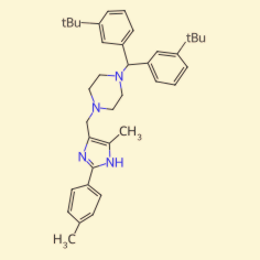 Cc1ccc(-c2nc(CN3CCN(C(c4cccc(C(C)(C)C)c4)c4cccc(C(C)(C)C)c4)CC3)c(C)[nH]2)cc1